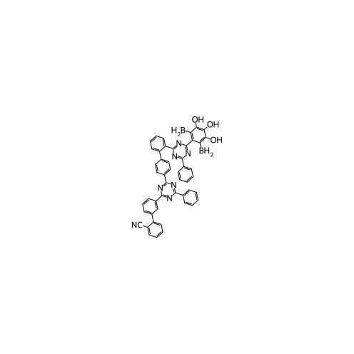 Bc1c(O)c(O)c(O)c(B)c1-c1nc(-c2ccccc2)nc(-c2ccccc2-c2ccc(-c3nc(-c4ccccc4)nc(-c4cccc(-c5ccccc5C#N)c4)n3)cc2)n1